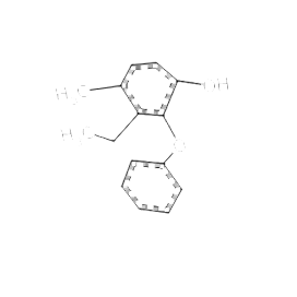 CCc1c(C)ccc(O)c1Oc1ccccc1